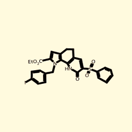 CCOC(=O)c1cc2c(n1Cc1ccc(I)cc1)-c1[nH]c(=O)c(S(=O)(=O)c3ccccc3)cc1CC2